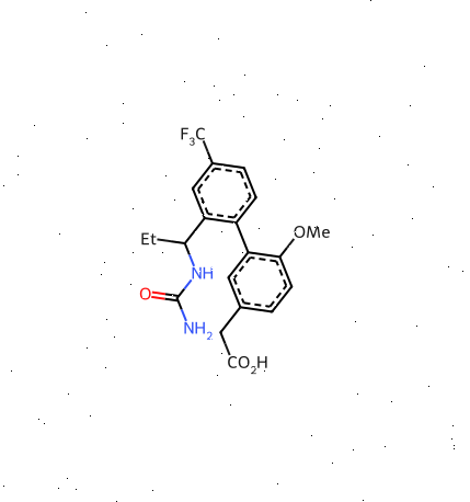 CCC(NC(N)=O)c1cc(C(F)(F)F)ccc1-c1cc(CC(=O)O)ccc1OC